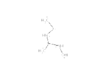 CCNC(C)NO